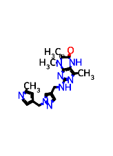 Cc1cc(Cn2cc(CNc3nc(C)c4c(n3)N(C)[C@@H](C)C(=O)N4)cn2)ccn1